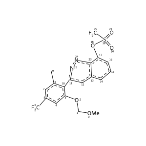 COCOc1cc(C(F)(F)F)cc(C)c1-c1cc2cccc(OS(=O)(=O)C(F)(F)F)c2nn1